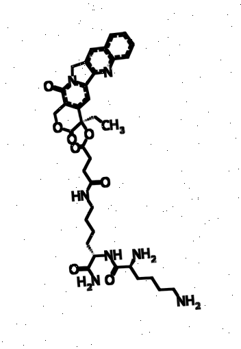 CC[C@]1(OC(=O)CCC(=O)NCCCC[C@H](NC(=O)[C@@H](N)CCCCN)C(N)=O)C(=O)OCc2c1cc1n(c2=O)Cc2cc3ccccc3nc2-1